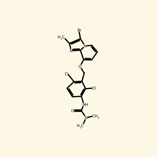 Cc1nc2c(OCc3c(Cl)ccc(NC(=O)N(C)C)c3Cl)cccn2c1Br